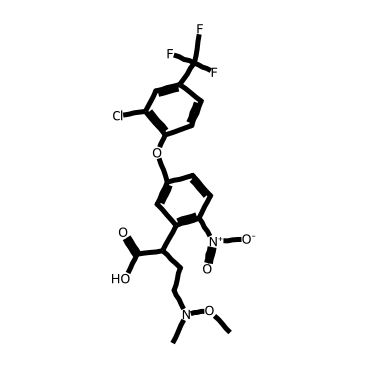 CON(C)CCC(C(=O)O)c1cc(Oc2ccc(C(F)(F)F)cc2Cl)ccc1[N+](=O)[O-]